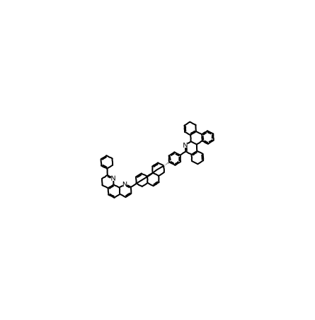 C1=CCCC(C2=NC3=C(C=CC4C=CC(C56C=CC7C(C=CC8C[C@]5(c5ccc(C9=NC%10C%11=C(CCC=C%11)c%11ccccc%11C%10C%10=C9CCC=C%10)cc5)C=CC87)C6)=NC34)CC2)=C1